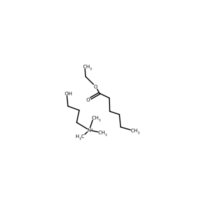 CCCCCC(=O)OCC.C[N+](C)(C)CCCO